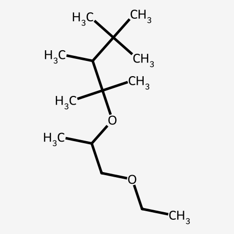 CCOCC(C)OC(C)(C)C(C)C(C)(C)C